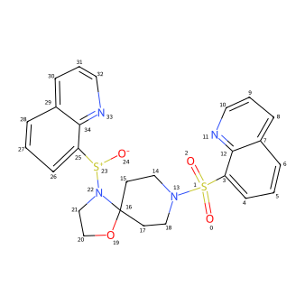 O=S(=O)(c1cccc2cccnc12)N1CCC2(CC1)OCCN2[S+]([O-])c1cccc2cccnc12